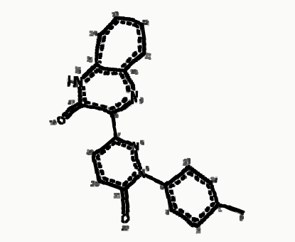 Cc1ccc(-n2nc(-c3nc4ccccc4[nH]c3=O)ccc2=O)cc1